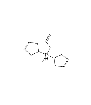 C=CC[PH](C)(C1CCCC1)C1CCCC1